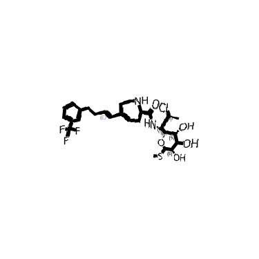 CSC1O[C@H]([C@H](NC(=O)C2CC=C(/C=C/CCc3cccc(C(F)(F)F)c3)CCN2)[C@H](C)Cl)[C@@H](O)C(O)[C@H]1O